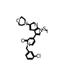 O=c1cc(-c2cn(SI)c3ncc(N4CCOCC4)cc23)ccn1Cc1cccc(Cl)c1